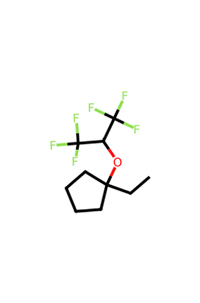 CCC1(O[C](C(F)(F)F)C(F)(F)F)CCCC1